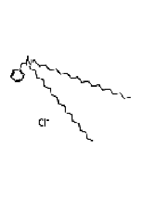 CCCCCCCCCCCCCCCCCCC[N+](C)(CCCCCCCCCCCCCCCCCC)Cc1ccccc1.[Cl-]